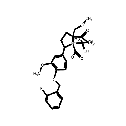 COCC1(C(N)=O)CCC(c2ccc(OCc3ccccc3F)c(OC)c2)[N+]1(C(=O)[O-])C(C)(C)C